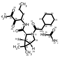 CCCC(NC(=O)[C@@H]1[C@@H]2[C@H](CN1C(=O)[C@@H](NC(N)=O)C1CCCCC1)C2(C)C)C(=O)C(N)=O